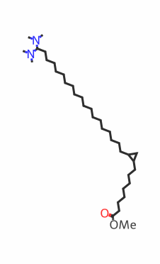 COC(=O)CCCCCCCC1CC1CCCCCCCCCCCCCCCCCCC(N(C)C)N(C)C